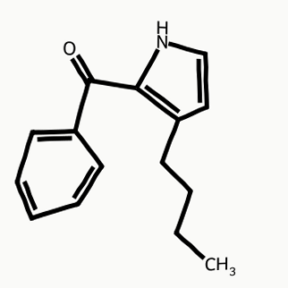 CCCCc1cc[nH]c1C(=O)c1ccccc1